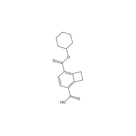 O=C(O)c1ccc(C(=O)OC2CCCCC2)c2c1CC2